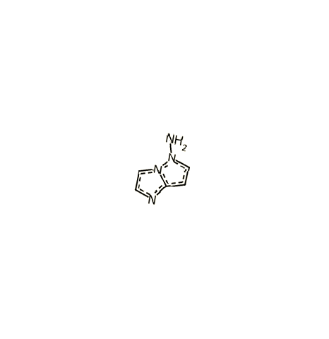 Nn1ccc2nccn21